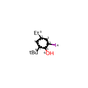 CCc1cc(I)c(O)c(C(C)(C)C)c1